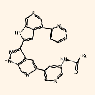 CC(C)(C)C(=O)Nc1cncc(-c2cc3c(-c4cc5c(-c6ccccn6)cncc5[nH]4)n[nH]c3cn2)c1